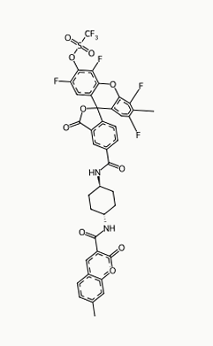 Cc1ccc2cc(C(=O)N[C@H]3CC[C@H](NC(=O)c4ccc5c(c4)C(=O)OC54c5cc(F)c(C)c(F)c5Oc5c4cc(F)c(OS(=O)(=O)C(F)(F)F)c5F)CC3)c(=O)oc2c1